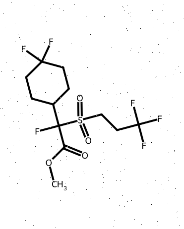 COC(=O)C(F)(C1CCC(F)(F)CC1)S(=O)(=O)CCC(F)(F)F